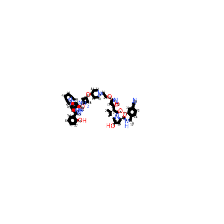 CC(C)[C@@H](C(=O)N1C[C@H](O)C[C@H]1C(=O)N[C@@H](C)c1ccc(C#N)cc1)c1cc(OCCN2CCC(O[C@H]3C[C@H](Oc4cc(N5C6CCC5CN(c5cc(-c7ccccc7O)nnc5N)C6)ccn4)C3)CC2)no1